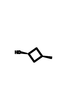 C[C@H]1C[C@H](O)C1